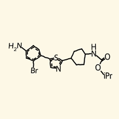 CC(C)OC(=O)NC1CCC(c2ncc(-c3ccc(N)cc3Br)s2)CC1